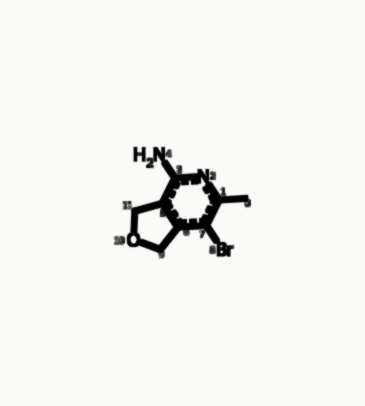 Cc1nc(N)c2c(c1Br)COC2